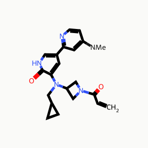 C=CC(=O)N1CC(N(CC2CC2)c2cc(-c3cc(NC)ccn3)c[nH]c2=O)C1